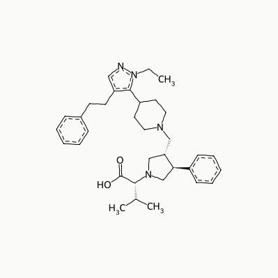 CCn1ncc(CCc2ccccc2)c1C1CCN(C[C@H]2CN([C@@H](C(=O)O)C(C)C)C[C@@H]2c2ccccc2)CC1